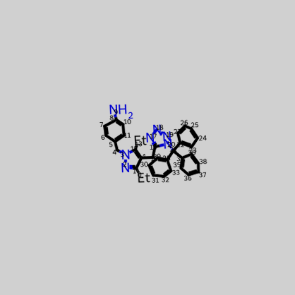 CCc1nn(Cc2ccc(N)cc2)c(CC)c1Cc1nnnn1C(c1ccccc1)(c1ccccc1)c1ccccc1